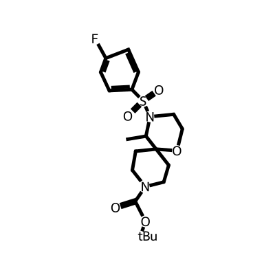 CC1N(S(=O)(=O)c2ccc(F)cc2)CCOC12CCN(C(=O)OC(C)(C)C)CC2